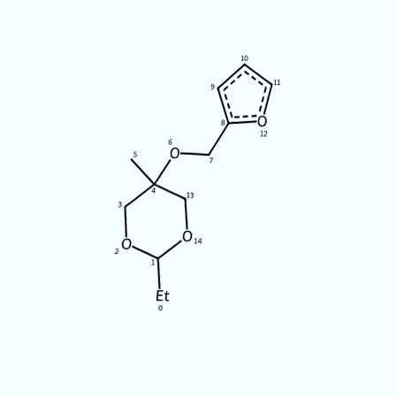 CCC1OCC(C)(OCc2ccco2)CO1